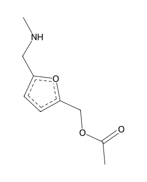 CNCc1ccc(COC(C)=O)o1